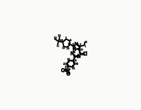 CCc1nc(C2CCC(C(C)(C)C)CC2)n2nc(-c3ccc([N+](=O)[O-])cc3)nc(Cl)c12